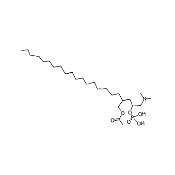 CCCCCCCCCCCCCCCCCCC(COC(C)=O)CC(CN(C)C)OP(=O)(O)O